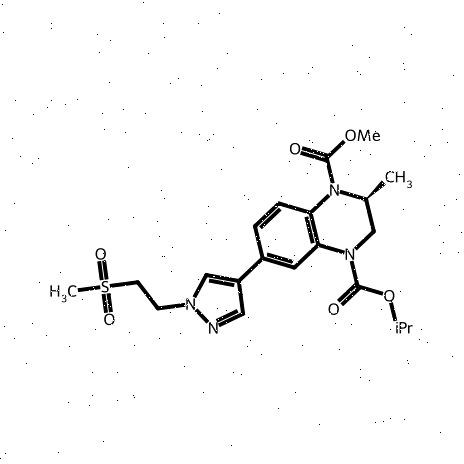 COC(=O)N1c2ccc(-c3cnn(CCS(C)(=O)=O)c3)cc2N(C(=O)OC(C)C)C[C@@H]1C